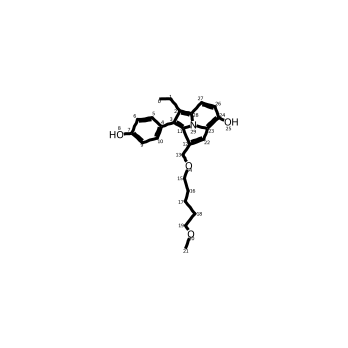 CCc1c(-c2ccc(O)cc2)c2c(COCCCCCOC)cc3c(O)ccc1n32